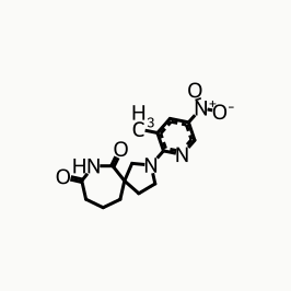 Cc1cc([N+](=O)[O-])cnc1N1CCC2(CCCC(=O)NC2=O)C1